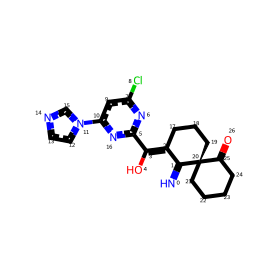 N=C1/C(=C(\O)c2nc(Cl)cc(-n3ccnc3)n2)CCC[C@@]12CCCCC2=O